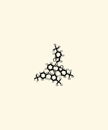 CC(C)(C)c1ccc(N2c3ccc(C(C)(C)C)cc3B3c4c2cccc4N(c2cc4ccc(C(C)(C)C)cc4o2)c2oc4cc(C(C)(C)C)ccc4c23)cc1